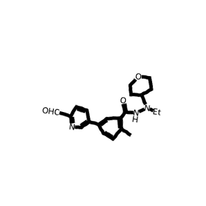 CCN(NC(=O)c1cc(-c2ccc(C=O)nc2)ccc1C)C1CCOCC1